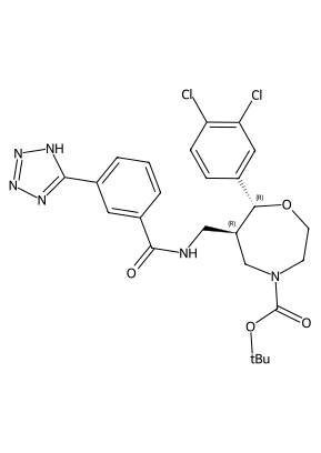 CC(C)(C)OC(=O)N1CCO[C@@H](c2ccc(Cl)c(Cl)c2)[C@H](CNC(=O)c2cccc(-c3nnn[nH]3)c2)C1